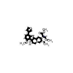 CC[C@@H]1CN2CC[C@@]3(O)C(=Nc4c(-c5ccoc5)ccc(OC)c43)C2C[C@@H]1/C(=C\OC)C(=O)OC